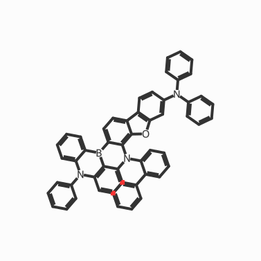 c1ccc(-c2ccccc2N2c3cccc4c3B(c3ccccc3N4c3ccccc3)c3ccc4c(oc5cc(N(c6ccccc6)c6ccccc6)ccc54)c32)cc1